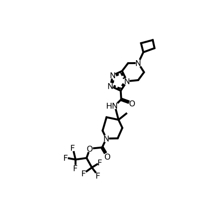 CC1(NC(=O)c2nnc3n2CCN(C2CCC2)C3)CCN(C(=O)OC(C(F)(F)F)C(F)(F)F)CC1